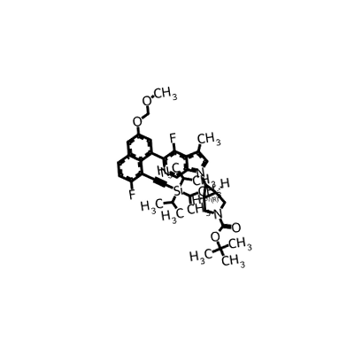 COCOc1cc(-c2ncc3c(c(C)cn3C3[C@H]4CN(C(=O)OC(C)(C)C)C[C@@H]34)c2F)c2c(C#C[Si](C(C)C)(C(C)C)C(C)C)c(F)ccc2c1